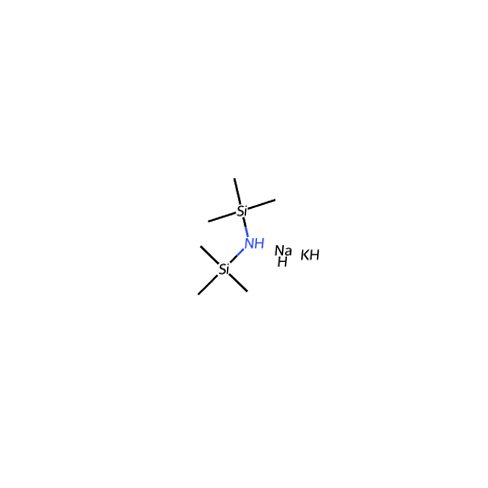 C[Si](C)(C)N[Si](C)(C)C.[KH].[NaH]